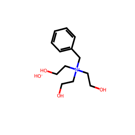 OCC[N+](CCO)(CCO)Cc1ccccc1.[OH-]